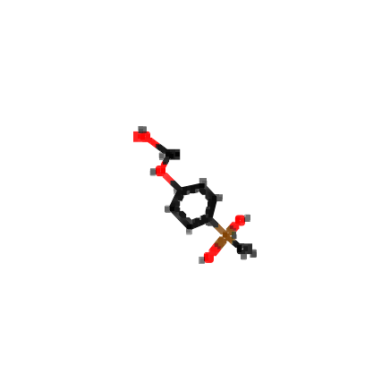 CS(=O)(=O)c1ccc(OBO)cc1